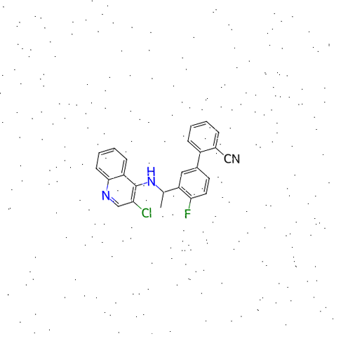 CC(Nc1c(Cl)cnc2ccccc12)c1cc(-c2ccccc2C#N)ccc1F